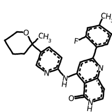 Cc1ccc(-c2cc(Nc3ccc(C4(C)CCCCO4)cn3)c3c(=O)[nH]ccc3n2)c(F)c1